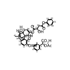 CC(=O)O[C@H](C(=O)O)c1ccccc1.COc1ccc2c3c1O[C@H]1C(OC(=O)C(O)CC(=O)Oc4ccccc4)=CC[C@@]4(O)[C@@H](C2)N(C)CC[C@]314